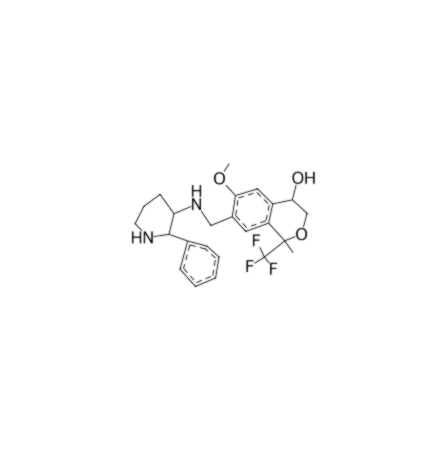 COc1cc2c(cc1CNC1CCCNC1c1ccccc1)C(C)(C(F)(F)F)OCC2O